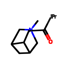 CC(C)C(=O)CC1C2CC1CN(C)C2